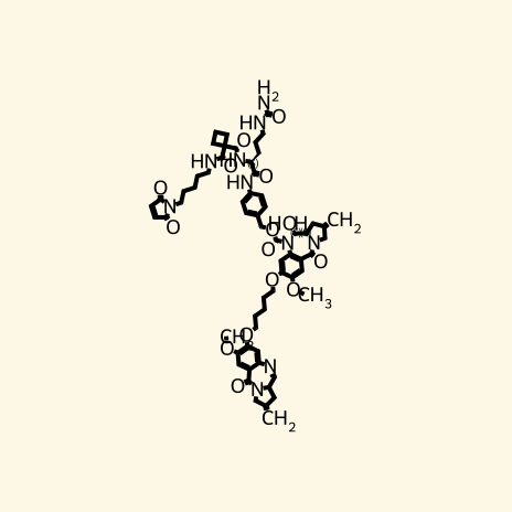 C=C1CC2C=Nc3cc(OCCCCCOc4cc5c(cc4OC)C(=O)N4CC(=C)C[C@H]4[C@H](O)N5C(=O)OCc4ccc(NC(=O)[C@H](CCCNC(N)=O)NC(=O)C5(C(=O)NCCCCCN6C(=O)C=CC6=O)CCC5)cc4)c(OC)cc3C(=O)N2C1